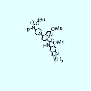 COc1cc2c(N3CCC(N(C(=O)OC(C)(C)C)C4CC4)CC3)ccc(C(=O)Nc3cc4cn(C)nc4cc3OC)n2n1